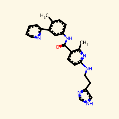 Cc1ccc(NC(=O)c2ccc(NCCc3c[nH]cn3)nc2C)cc1-c1ccccn1